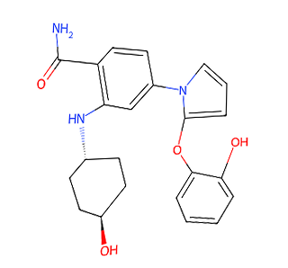 NC(=O)c1ccc(-n2cccc2Oc2ccccc2O)cc1N[C@H]1CC[C@H](O)CC1